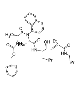 CCCC[C@@H](C(=O)N[C@@H](CC(C)C)[C@@H](O)/C=C(\CC)C(=O)NCC(C)C)N(C(=O)[C@H](C)NC(=O)OCc1ccccc1)c1cccc2ccccc12